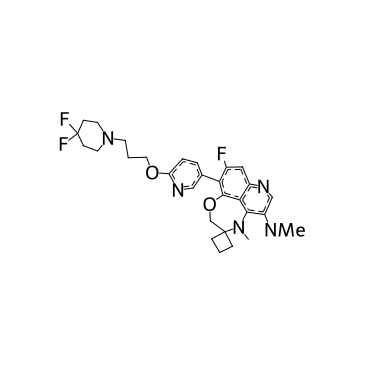 CNc1cnc2cc(F)c(-c3ccc(OCCCN4CCC(F)(F)CC4)nc3)c3c2c1N(C)C1(CCC1)CO3